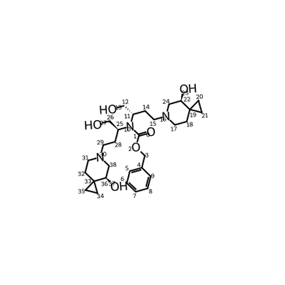 O=C(OCc1ccccc1)N([C@H](CO)CCN1CCC2(CC2)[C@H](O)C1)[C@H](CO)CCN1CCC2(CC2)[C@H](O)C1